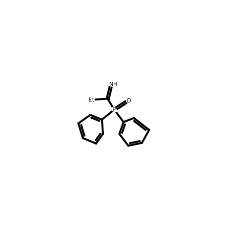 CCC(=N)P(=O)(c1ccccc1)c1ccccc1